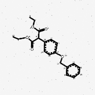 CCOC(=O)C(C(=O)OCC)c1ccc(OCc2ccccc2)cc1